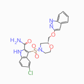 NC(=O)c1[nH]c2ccc(Cl)cc2c1S(=O)(=O)N1CCO[C@H](COc2cc3ccccc3nn2)C1